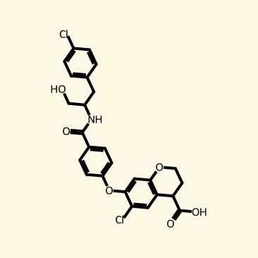 O=C(NC(CO)Cc1ccc(Cl)cc1)c1ccc(Oc2cc3c(cc2Cl)C(C(=O)O)CCO3)cc1